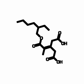 CCCCC(CC)COC(=O)C(C)=C(CC(=O)O)CC(=O)O